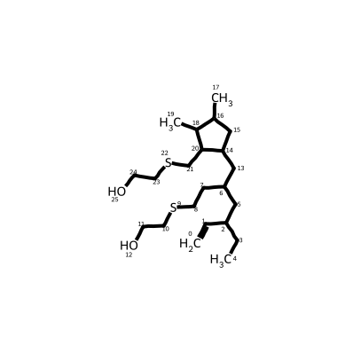 C=CC(CC)CC(CCSCCO)CC1CC(C)C(C)C1CSCCO